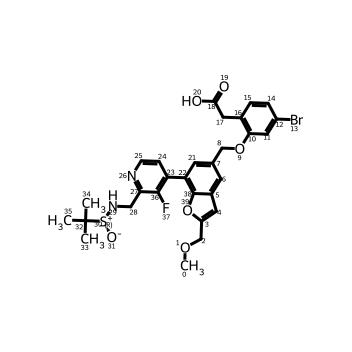 COCc1cc2cc(COc3cc(Br)ccc3CC(=O)O)cc(-c3ccnc(CN[S@@+]([O-])C(C)(C)C)c3F)c2o1